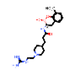 N=C(N)NCCN1CCC(CCC(=O)N[C@H]2Cc3cccc(C(=O)O)c3OB2O)CC1